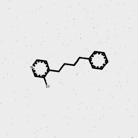 CCc1cnccc1CCCCc1ccccc1